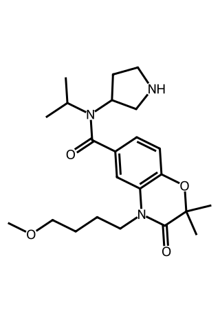 COCCCCN1C(=O)C(C)(C)Oc2ccc(C(=O)N(C(C)C)C3CCNC3)cc21